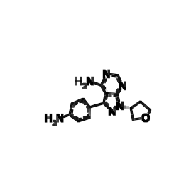 Nc1ccc(-c2nn([C@@H]3CCOC3)c3ncnc(N)c23)cc1